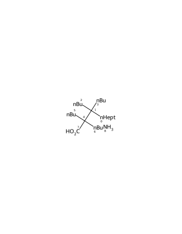 CCCCCCCC(CCCC)(CCCC)C(CCCC)(CCCC)C(=O)O.N